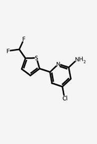 Nc1cc(Cl)cc(-c2ccc(C(F)F)s2)n1